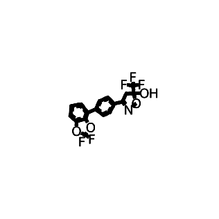 OC1(C(F)(F)F)CC(c2ccc(-c3cccc4c3OC(F)(F)O4)cc2)=NO1